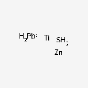 S.[PbH2].[Ti].[Zn]